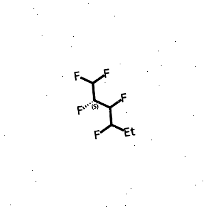 [CH2]CC(F)C(F)[C@H](F)C(F)F